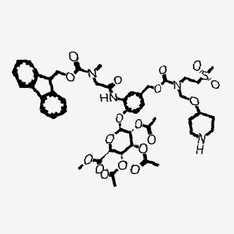 COC(=O)[C@H]1O[C@@H](Oc2ccc(COC(=O)N(CCS(C)(=O)=O)COC3CCNCC3)cc2NC(=O)CN(C)C(=O)OCC2c3ccccc3-c3ccccc32)[C@H](OC(C)=O)[C@@H](OC(C)=O)[C@@H]1OC(C)=O